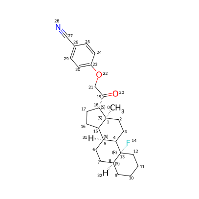 C[C@]12CCC3[C@@H](CC[C@@H]4CCCC[C@]34F)C1CC[C@@H]2C(=O)COc1ccc(C#N)cc1